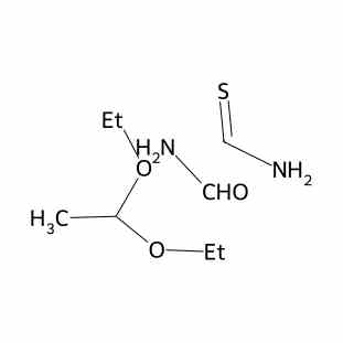 CCOC(C)OCC.NC=O.NC=S